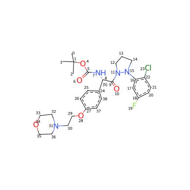 CC(C)(C)OC(=O)N[C@H](C(=O)N1CCCN1c1cc(F)ccc1Cl)c1ccc(OCCN2CCOCC2)cc1